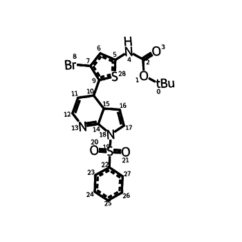 CC(C)(C)OC(=O)Nc1cc(Br)c(C2C=CN=C3C2C=CN3S(=O)(=O)c2ccccc2)s1